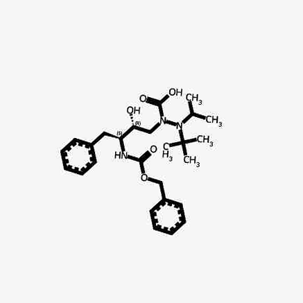 CC(C)N(N(C[C@@H](O)[C@H](Cc1ccccc1)NC(=O)OCc1ccccc1)C(=O)O)C(C)(C)C